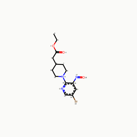 CCOC(=O)CC1CCN(c2ncc(Br)cc2N=O)CC1